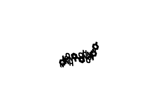 Cc1c(NC(=O)c2nc3c(n2C)CCN(C)C3)cccc1-c1cccc(NC(=O)c2nc3c(n2C)CCN(C2CCC(C)CC2)C3)c1Cl